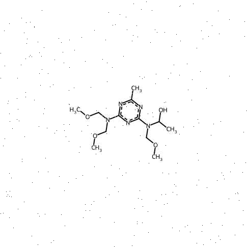 COCN(COC)c1nc(C)nc(N(COC)C(C)O)n1